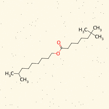 CC(C)CCCCCCCOC(=O)CCCCCC(C)(C)C